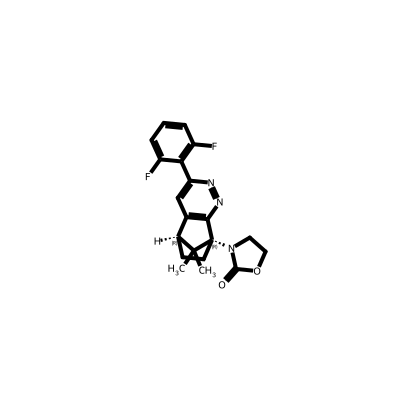 CC1(C)[C@H]2CC[C@]1(N1CCOC1=O)c1nnc(-c3c(F)cccc3F)cc12